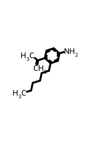 C=C(C)c1ccc(N)cc1CCCCCC